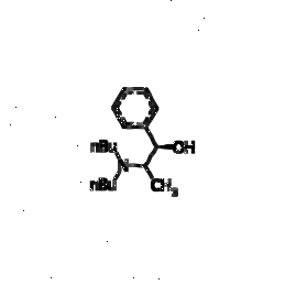 CCCCN(CCCC)C(C)[C@H](O)c1ccccc1